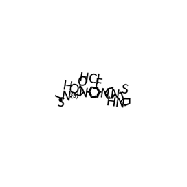 CC(=S)NC[C@H]1CN(c2ccc(N3CCN(C(=S)C4CCCN4)CC3)c(F)c2)C(=O)O1.Cl